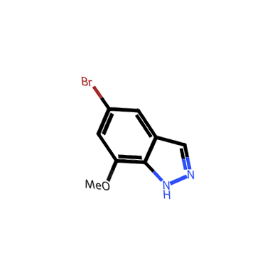 COc1cc(Br)cc2cn[nH]c12